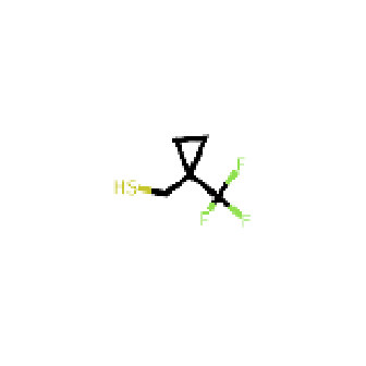 FC(F)(F)C1(CS)CC1